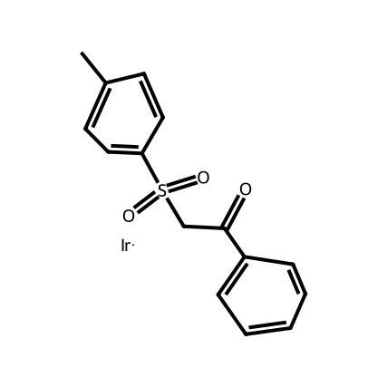 Cc1ccc(S(=O)(=O)CC(=O)c2ccccc2)cc1.[Ir]